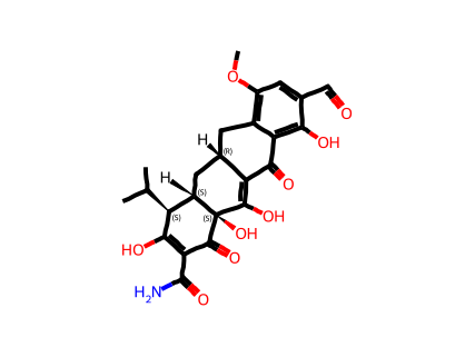 COc1cc(C=O)c(O)c2c1C[C@H]1C[C@H]3[C@H](C(C)C)C(O)=C(C(N)=O)C(=O)[C@@]3(O)C(O)=C1C2=O